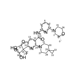 C[C@@H]1CN(c2cccc(NC(=O)c3ccc(C(F)(C(=O)O)C(=O)O)nc3N3CCC4(CC3)CC4)n2)CCO1